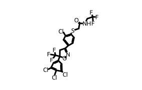 O=C(CSc1ccc(C2=NOC(c3cc(Cl)c(Cl)c(Cl)c3)(C(F)(F)F)C2)cc1Cl)NCC(F)(F)F